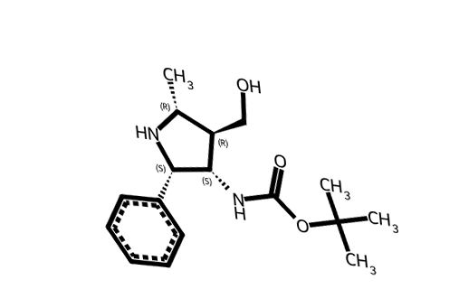 C[C@H]1N[C@@H](c2ccccc2)[C@@H](NC(=O)OC(C)(C)C)[C@@H]1CO